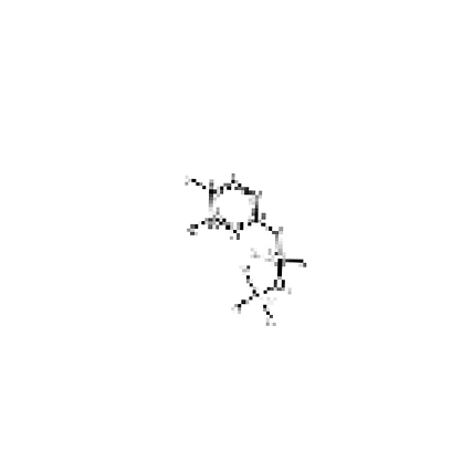 Cc1ccc(C[Si](C)(C)O[Si](C)(C)C)cc1C